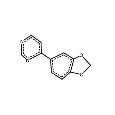 [c]1cc(-c2ccc3c(c2)OCO3)ncn1